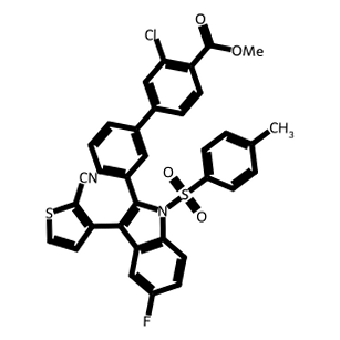 COC(=O)c1ccc(-c2cccc(-c3c(-c4ccsc4C#N)c4cc(F)ccc4n3S(=O)(=O)c3ccc(C)cc3)c2)cc1Cl